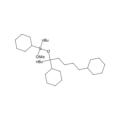 CCCCC(CCCCC1CCCCC1)(O[Si](CCCC)(OC)C1CCCCC1)C1CCCCC1